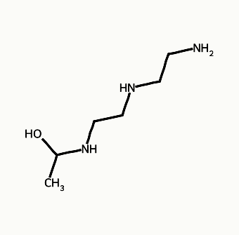 CC(O)NCCNCCN